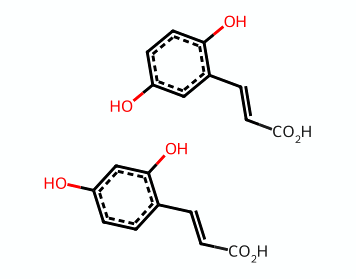 O=C(O)C=Cc1cc(O)ccc1O.O=C(O)C=Cc1ccc(O)cc1O